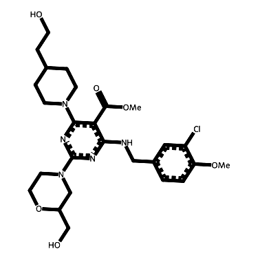 COC(=O)c1c(NCc2ccc(OC)c(Cl)c2)nc(N2CCOC(CO)C2)nc1N1CCC(CCO)CC1